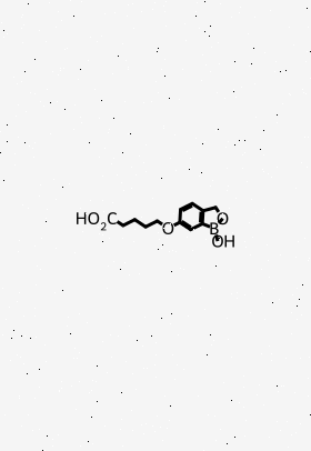 O=C(O)CCCCOc1ccc2c(c1)B(O)OC2